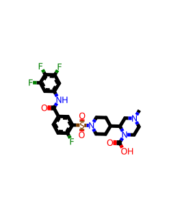 CN1CCN(C(=O)O)C(C2CCN(S(=O)(=O)c3cc(C(=O)Nc4cc(F)c(F)c(F)c4)ccc3F)CC2)C1